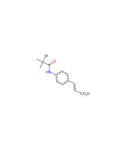 CCC(C)(C)C(=O)Nc1ccc(/C=C/C(=O)O)cc1